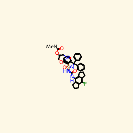 CNC(=O)O[C@@H]1COc2c(S(=O)(=NC(c3ccccc3)(c3ccccc3)c3ccccc3)NC(=O)Nc3c4c(c(F)c5c3CCC5)CCC4)cnn2C1